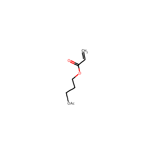 C=CC(=O)OCCCOC(C)=O